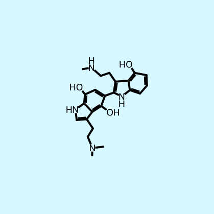 CNCCc1c(-c2cc(O)c3[nH]cc(CCN(C)C)c3c2O)[nH]c2cccc(O)c12